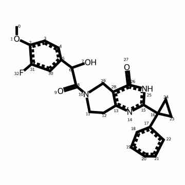 COc1ccc(C(O)C(=O)N2CCc3nc(C4(c5ccccc5)CC4)[nH]c(=O)c3C2)cc1F